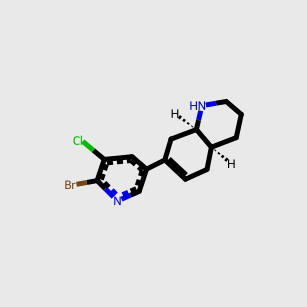 Clc1cc(C2=CC[C@@H]3CCCN[C@@H]3C2)cnc1Br